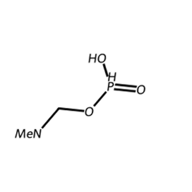 CNCO[PH](=O)O